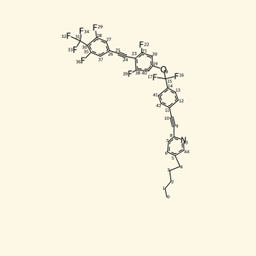 CCCCCc1ccc(C#Cc2ccc(C(F)(F)Oc3cc(F)c(C#Cc4cc(F)c(C(F)(F)F)c(F)c4)c(F)c3)cc2)nc1